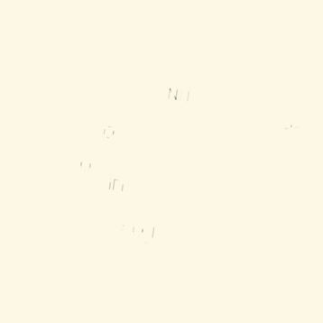 CC(C)Cc1ccc(C(Nc2ccc3cc(-c4ccccc4OCCCC(=O)O)oc3c2)c2ccc(CC(C)C)cc2)cc1